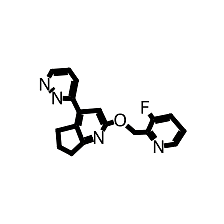 Fc1cccnc1COc1cc(-c2cccnn2)c2c(n1)CCC2